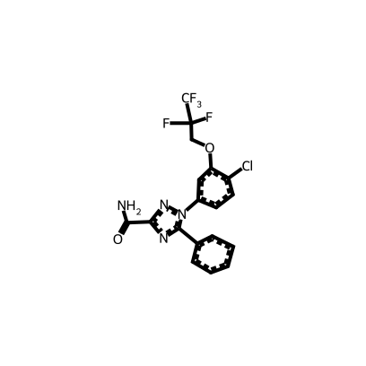 NC(=O)c1nc(-c2ccccc2)n(-c2ccc(Cl)c(OCC(F)(F)C(F)(F)F)c2)n1